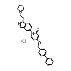 Cl.O=c1cc(OCc2ccc(-c3ccccc3)cc2)ccn1-c1ccc2c(cnn2CCN2CCCC2)c1